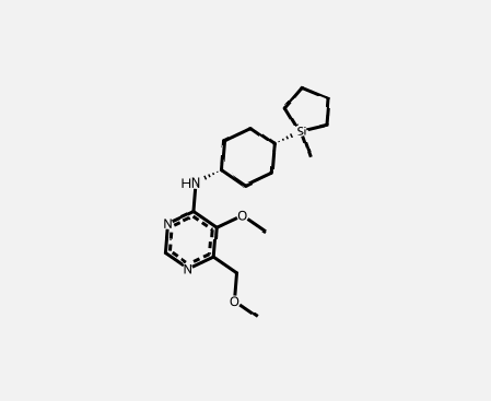 COCc1ncnc(N[C@H]2CC[C@@H]([Si]3(C)CCCC3)CC2)c1OC